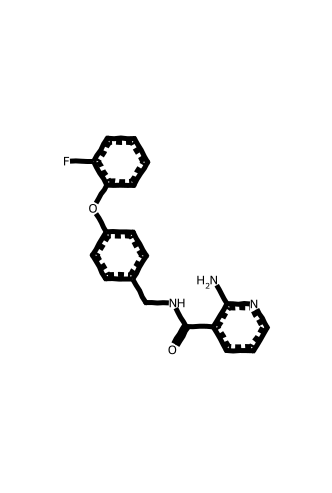 Nc1ncccc1C(=O)NCc1ccc(Oc2ccccc2F)cc1